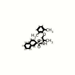 Cc1cccc(C)c1OCC(C)NS(=O)(=O)c1ccc2ccccc2c1